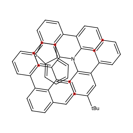 CC(C)(C)c1ccc(N(c2ccccc2-c2cccc3cccc(-c4ccccc4)c23)c2ccccc2-c2cccc3sc4ccccc4c23)c(-c2ccccc2)c1